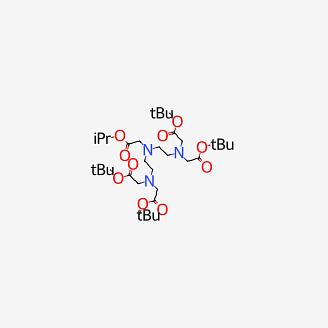 CC(C)OC(=O)CN(CCN(CC(=O)OC(C)(C)C)CC(=O)OC(C)(C)C)CCN(CC(=O)OC(C)(C)C)CC(=O)OC(C)(C)C